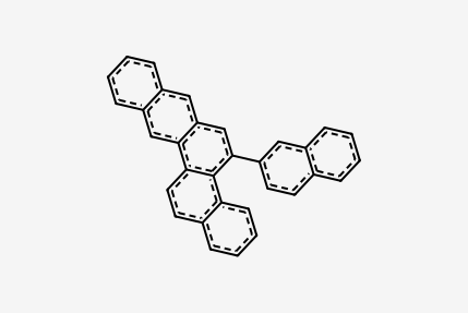 c1ccc2cc(-c3cc4cc5ccccc5cc4c4ccc5ccccc5c34)ccc2c1